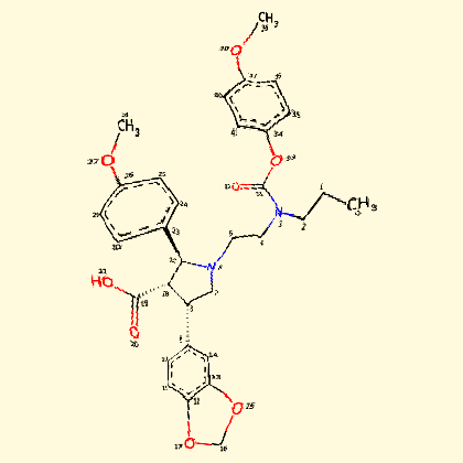 CCCN(CCN1C[C@H](c2ccc3c(c2)OCO3)[C@H](C(=O)O)[C@H]1c1ccc(OC)cc1)C(=O)Oc1ccc(OC)cc1